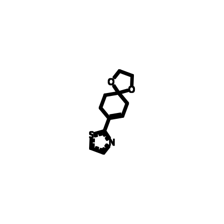 C1=C(c2nccs2)CCC2(C1)OCCO2